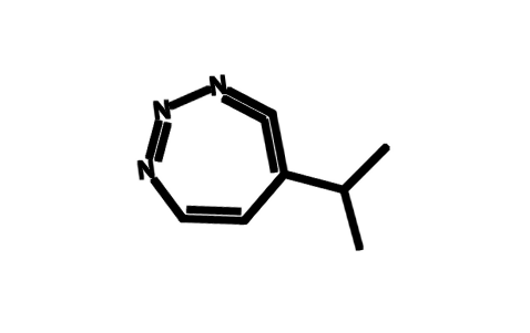 CC(C)C1=C=NN=NC=C1